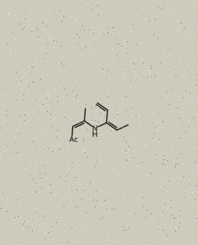 C=C/C(=C\C)N/C(C)=C\C(C)=O